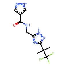 CC(C)(c1n[nH]c(CNC(=O)c2cn[nH]c2)n1)C(F)(F)F